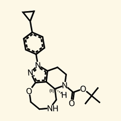 CC(C)(C)OC(=O)N1CCc2c3c(nn2-c2ccc(C4CC4)cc2)OCCNC[C@@H]31